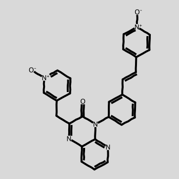 O=c1c(Cc2ccc[n+]([O-])c2)nc2cccnc2n1-c1cccc(/C=C/c2cc[n+]([O-])cc2)c1